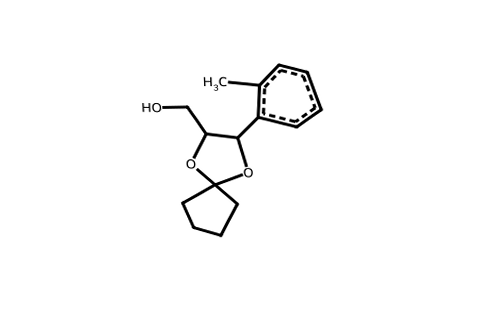 Cc1ccccc1C1OC2(CCCC2)OC1CO